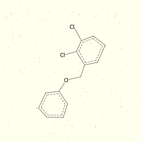 Clc1cccc(COc2c[c]ccc2)c1Cl